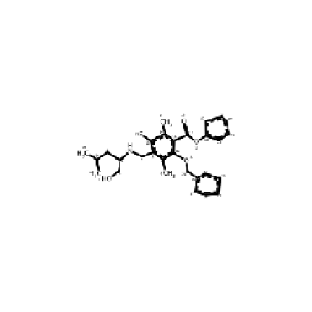 Cc1c(CN[C@@H](CO)CC(C)C)c(F)c(C)c(C(=O)Oc2ccccc2)c1OCc1ccccc1